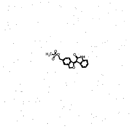 CS(=O)(=O)OCc1ccc2c(c1)COC2=C1C(=O)Nc2ccccc21